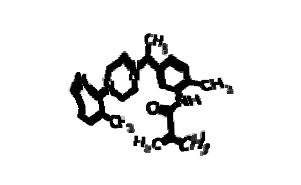 C=C(C)C(=O)Nc1cc(C(C)N2CCN(c3ncccc3C(F)(F)F)CC2)ccc1C